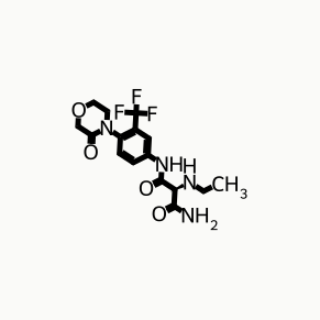 CCN[C@@H](C(N)=O)C(=O)Nc1ccc(N2CCOCC2=O)c(C(F)(F)F)c1